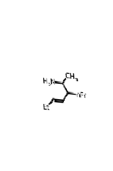 CCC=CC(CCC)C(C)N